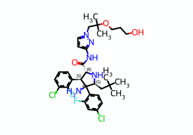 CC(C)(C)C[C@@H]1N[C@@H](C(=O)Nc2ccn(CC(C)(C)OCCCO)n2)[C@H](c2cccc(Cl)c2F)[C@@]1(N)c1ccc(Cl)cc1F